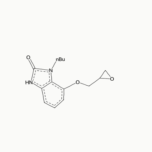 CCCCn1c(=O)[nH]c2cccc(OCC3CO3)c21